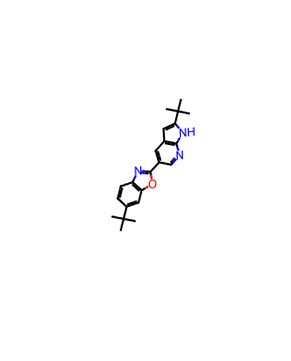 CC(C)(C)c1ccc2nc(-c3cnc4[nH]c(C(C)(C)C)cc4c3)oc2c1